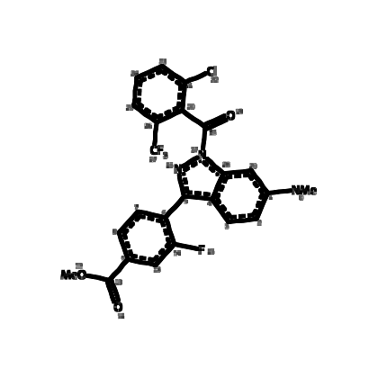 CNc1ccc2c(-c3ccc(C(=O)OC)cc3F)nn(C(=O)c3c(Cl)cccc3C(F)(F)F)c2c1